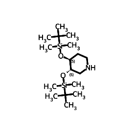 CC(C)(C)[Si](C)(C)O[C@H]1CCNC[C@@H]1O[Si](C)(C)C(C)(C)C